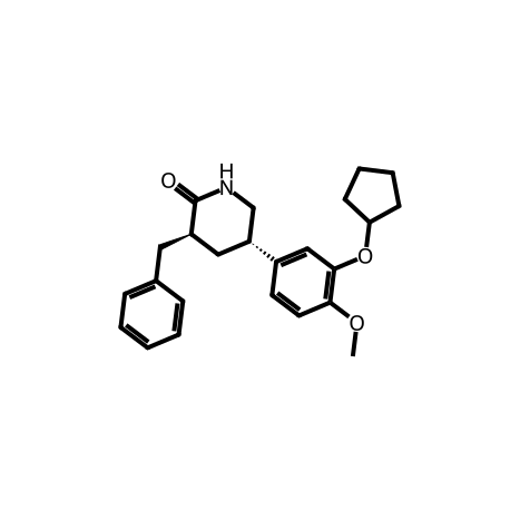 COc1ccc([C@H]2CNC(=O)[C@H](Cc3ccccc3)C2)cc1OC1CCCC1